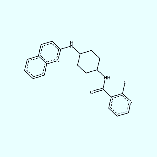 O=C(NC1CCC(Nc2ccc3ccccc3n2)CC1)c1cccnc1Cl